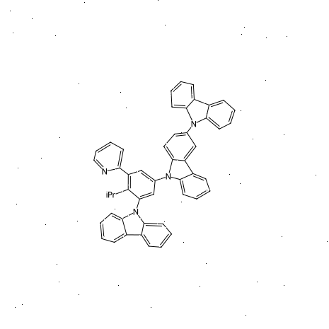 CC(C)c1c(-c2ccccn2)cc(-n2c3ccccc3c3cc(-n4c5ccccc5c5ccccc54)ccc32)cc1-n1c2ccccc2c2ccccc21